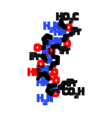 CC(C)C[C@H](NC(=O)[C@H](CC(N)=O)NC(=O)[C@@H](NC(=O)[C@@H]1CCCN1C(=O)[C@@H](NC(=O)[C@@H]1CCCN1C(=O)[C@@H](NC(=O)[C@H](CC(C)C)NC(=O)[C@@H](N)CC(=O)O)C(C)C)C(C)C)[C@@H](C)O)C(=O)O